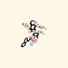 CCOc1c2c(c(OCC)c3ncccc13)CN(c1ccc(CS(=O)(=O)NC(=O)Cc3cccc4ccccc34)cc1C)C2=O